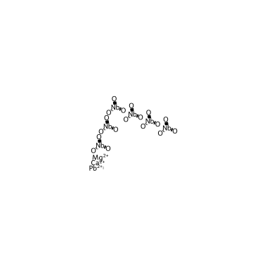 [Ca+2].[Mg+2].[O]=[Nb](=[O])[O-].[O]=[Nb](=[O])[O-].[O]=[Nb](=[O])[O-].[O]=[Nb](=[O])[O-].[O]=[Nb](=[O])[O-].[O]=[Nb](=[O])[O-].[Pb+2]